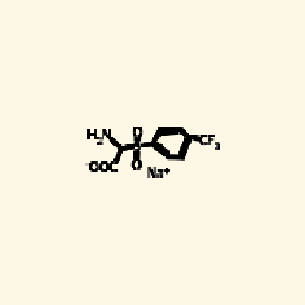 NC(C(=O)[O-])S(=O)(=O)c1ccc(C(F)(F)F)cc1.[Na+]